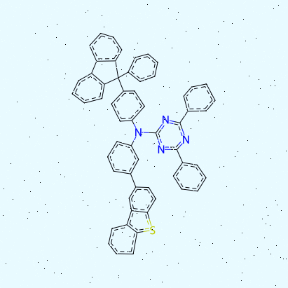 c1ccc(-c2nc(-c3ccccc3)nc(N(c3ccc(C4(c5ccccc5)c5ccccc5-c5ccccc54)cc3)c3cccc(-c4ccc5sc6ccccc6c5c4)c3)n2)cc1